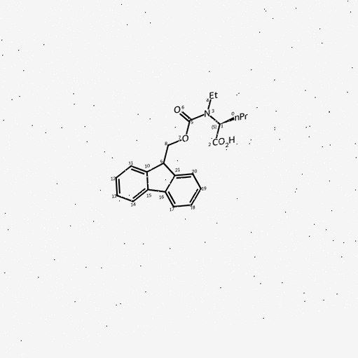 CCC[C@@H](C(=O)O)N(CC)C(=O)OCC1c2ccccc2-c2ccccc21